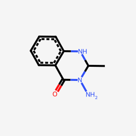 CC1Nc2ccccc2C(=O)N1N